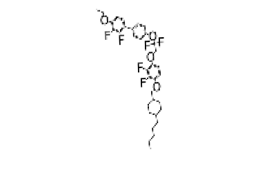 CCCCCC1CCC(COc2ccc(OCC(F)(F)Oc3ccc(-c4ccc(OCC)c(F)c4F)cc3)c(F)c2F)CC1